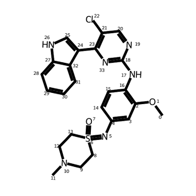 COc1cc(N=S2(=O)CCN(C)CC2)ccc1Nc1ncc(Cl)c(-c2c[nH]c3ccccc23)n1